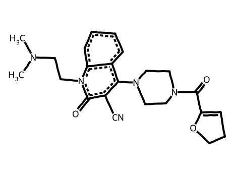 CN(C)CCn1c(=O)c(C#N)c(N2CCN(C(=O)C3=CCCO3)CC2)c2ccccc21